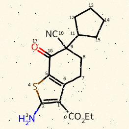 CCOC(=O)c1c(N)sc2c1CCC(C#N)(C1CCCC1)C2=O